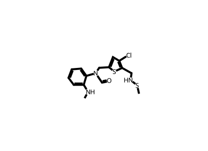 CNc1ccccc1N(C=O)Cc1cc(Cl)c(CNSC)s1